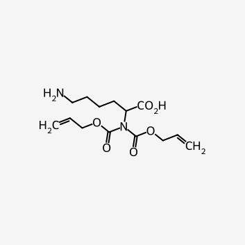 C=CCOC(=O)N(C(=O)OCC=C)C(CCCCN)C(=O)O